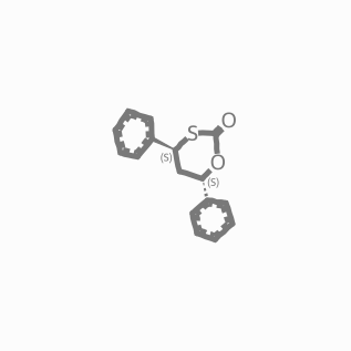 O=C1O[C@H](c2ccccc2)C[C@@H](c2ccccc2)S1